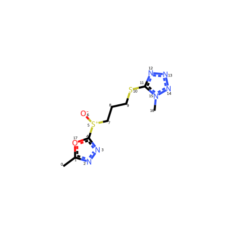 Cc1nnc([S+]([O-])CCCSc2nnnn2C)o1